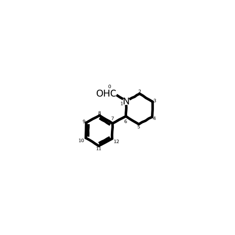 O=CN1CCCCC1c1ccccc1